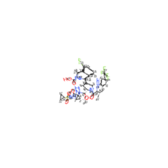 CC[C@@H]1C[C@]1(NC(=O)[C@@H]1C[C@@H](C2c3cccc(F)c3CN2C(=O)O)CN1C(=O)[C@@H](Nc1ccc(F)c(C(F)(F)F)c1)C(C)C)C(=O)NS(=O)(=O)C1CC1